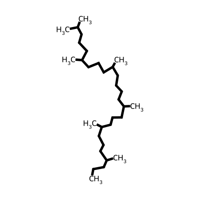 CCCC(C)CCCC(C)CCCC(C)CCCCC(C)CCCC(C)CCCC(C)C